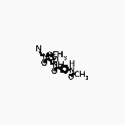 CC(=O)Nc1ccc(C(=O)NCC(C(=O)NCC#N)S(C)(=O)=O)cc1